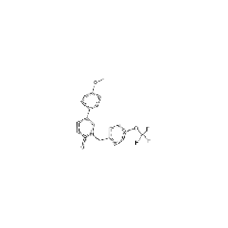 COc1ccc(-c2ccc(=O)n(Cc3ccc(OC(F)(F)F)cc3)c2)cc1